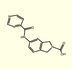 O=C(Nc1ccc2c(c1)CN(C(=O)O)C2)c1ccncn1